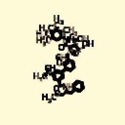 COC[C@H](Cc1ccccc1)NC(=O)c1cc(-c2cccc(CN3O[C@@H](CO)[C@@H]([C@H](C)O)[C@H]3C(=O)N[C@H]3C[C@@H](C)C(C)(C)[C@@H](C)[C@@H]3C)c2OC)cc(N(C)C)c1